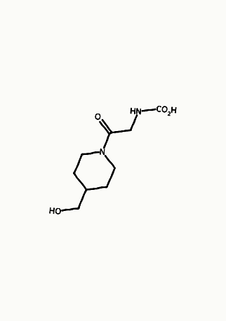 O=C(O)NCC(=O)N1CCC(CO)CC1